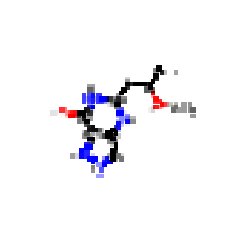 COC(C)Cc1nc2c[nH]nc2c(=O)[nH]1